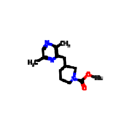 Cc1cnc(C)c(CC2CCCN(C(=O)OC(C)(C)C)C2)n1